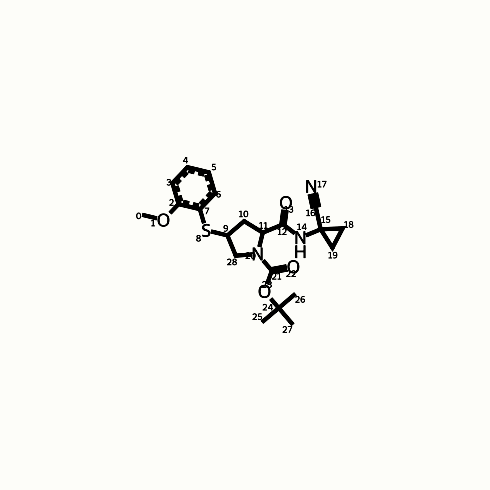 COc1ccccc1SC1CC(C(=O)NC2(C#N)CC2)N(C(=O)OC(C)(C)C)C1